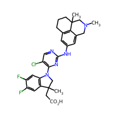 CN1Cc2cc(Nc3ncc(Cl)c(N4CC(C)(CC(=O)O)c5cc(F)c(F)cc54)n3)cc3c2C(C)(CCC3)C1